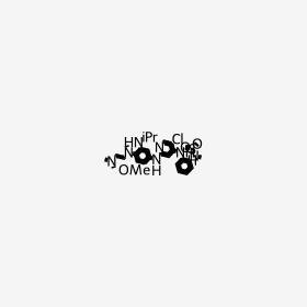 COc1cc(N(C)CCN(C)C)c(NC(C)C)cc1Nc1cc(Nc2ccccc2N(C)[SH](=O)=O)c(Cl)cn1